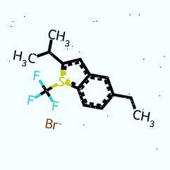 CCc1ccc2c(c1)cc(C(C)C)[s+]2C(F)(F)F.[Br-]